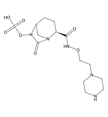 O=C(NOCCN1CCNCC1)[C@@H]1CCC2CN1C(=O)N2OS(=O)(=O)O